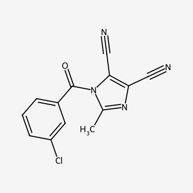 Cc1nc(C#N)c(C#N)n1C(=O)c1cccc(Cl)c1